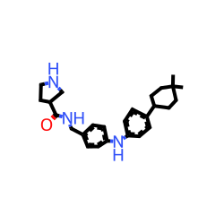 CC1(C)CCC(c2ccc(Nc3ccc(CNC(=O)C4CCNC4)cc3)cc2)CC1